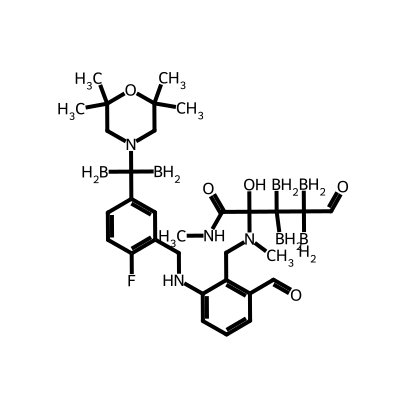 BC(B)(c1ccc(F)c(CNc2cccc(C=O)c2CN(C)C(O)(C(=O)NC)C(B)(B)C(B)(B)C=O)c1)N1CC(C)(C)OC(C)(C)C1